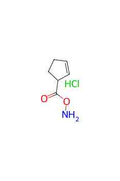 Cl.NOC(=O)C1C=CCC1